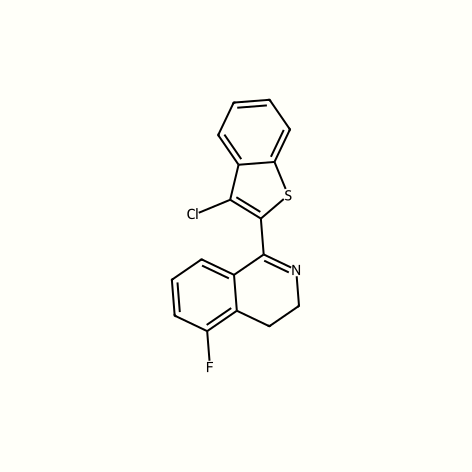 Fc1cccc2c1CCN=C2c1sc2ccccc2c1Cl